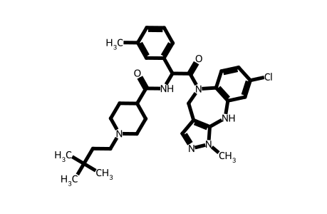 Cc1cccc(C(NC(=O)C2CCN(CCC(C)(C)C)CC2)C(=O)N2Cc3cnn(C)c3Nc3cc(Cl)ccc32)c1